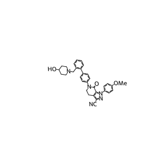 COc1ccc(-n2nc(C#N)c3c2C(=O)N(c2ccc(-c4ccccc4CN4CCC(O)CC4)cc2)CC3)cc1